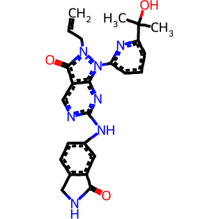 C=CCn1c(=O)c2cnc(Nc3ccc4c(c3)C(=O)NC4)nc2n1-c1cccc(C(C)(C)O)n1